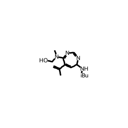 C=C(C)C1=CC(NC(C)CC)N=CN=C1N(C)CO